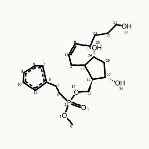 COP(=O)(CCc1ccccc1)OC[C@H]1C(C/C=C\CCCCO)[C@H](O)C[C@@H]1O